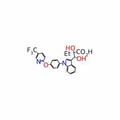 CC[C@](O)(C(=O)O)[C@@H](O)c1cn(-c2ccc(Oc3ccc(C(F)(F)F)cn3)cc2)c2ccccc12